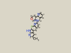 Cc1cnc2[nH]cc(Cc3ccc(NCc4cccnc4C4CCOCC4)nc3F)c2c1